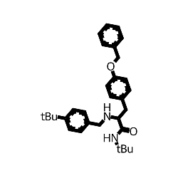 CC(C)(C)NC(=O)C(Cc1ccc(OCc2ccccc2)cc1)NCc1ccc(C(C)(C)C)cc1